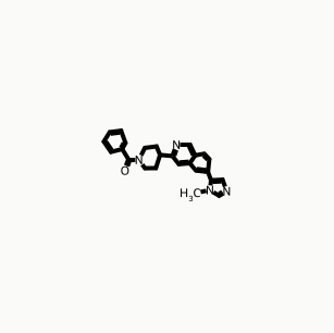 Cn1cncc1-c1ccc2cnc(C3CCN(C(=O)c4ccccc4)CC3)cc2c1